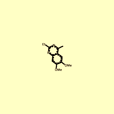 CCc1nc(C)c2cc(OC)c(OC)cc2n1